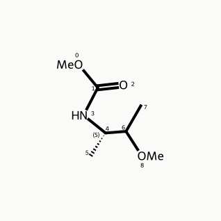 COC(=O)N[C@@H](C)C(C)OC